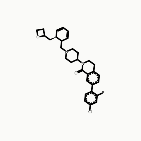 O=C1c2cc(-c3ccc(Cl)cc3F)ccc2CCN1C1CCN(CC2C=CC=C[C@@H]2CC2CCO2)CC1